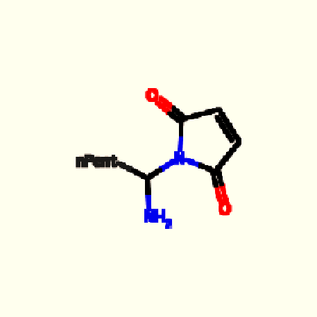 CCCCCC(N)N1C(=O)C=CC1=O